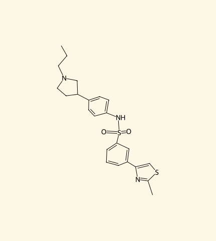 CCCN1CCC(c2ccc(NS(=O)(=O)c3cccc(-c4csc(C)n4)c3)cc2)C1